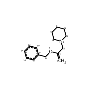 C=C(CN1CCCCC1)OCc1ccccc1